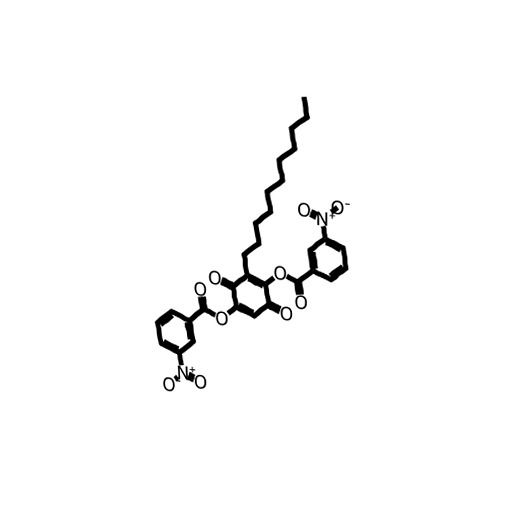 CCCCCCCCCCCC1=C(OC(=O)c2cccc([N+](=O)[O-])c2)C(=O)C=C(OC(=O)c2cccc([N+](=O)[O-])c2)C1=O